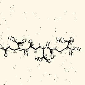 CNC(CCC(=O)NC(CCC(=O)NC(CCC(=O)O)C(=O)O)C(=O)O)C(=O)O